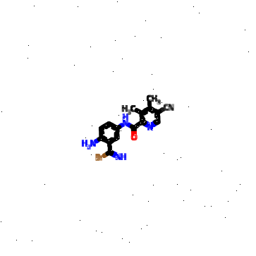 Cc1c(C#N)cnc(C(=O)Nc2ccc(N)c(C(=N)Br)c2)c1C